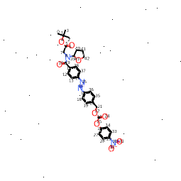 CC(C)(C)OC(=O)CN(C(=O)c1ccc(/N=N/c2ccc(COC(=O)Oc3ccc([N+](=O)[O-])cc3)cc2)cc1)C1CCCO1